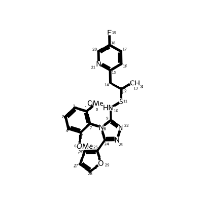 COc1cccc(OC)c1-n1c(NSC(C)Cc2ccc(F)cn2)nnc1-c1ccco1